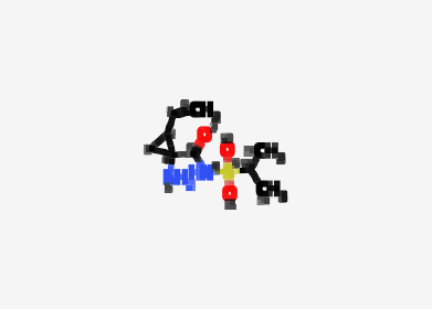 C=CC1CC1(N)C(=O)NS(=O)(=O)C(C)C